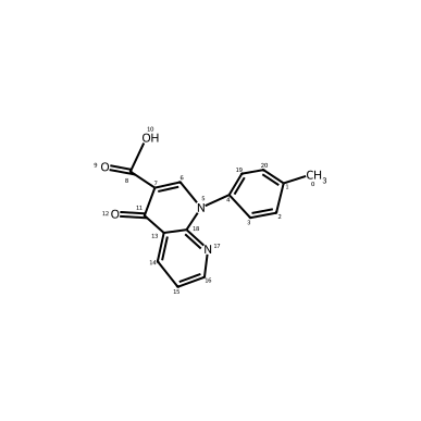 Cc1ccc(-n2cc(C(=O)O)c(=O)c3cccnc32)cc1